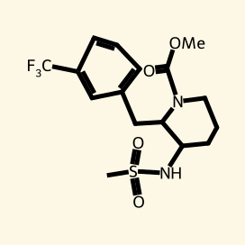 COC(=O)N1CCCC(NS(C)(=O)=O)C1Cc1cccc(C(F)(F)F)c1